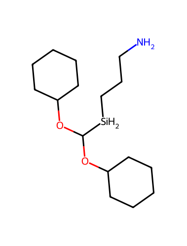 NCCC[SiH2]C(OC1CCCCC1)OC1CCCCC1